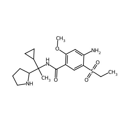 CCS(=O)(=O)c1cc(C(=O)NC(C)(C2CC2)C2CCCN2)c(OC)cc1N